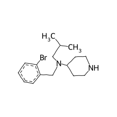 CC(C)CN(Cc1ccccc1Br)C1CCNCC1